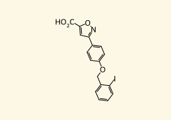 O=C(O)c1cc(-c2ccc(OCc3ccccc3I)cc2)no1